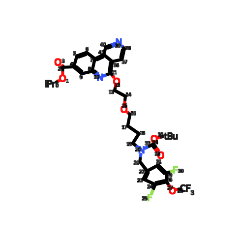 CC(C)OC(=O)c1ccc2c(c1)nc(OCCOCCCCN(Cc1cc(F)c(OC(F)(F)F)c(F)c1)C(=O)OC(C)(C)C)c1ccncc12